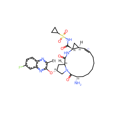 CCc1nc2ccc(F)cc2nc1O[C@@H]1C[C@H]2C(=O)N[C@]3(C(=O)NS(=O)(=O)C4CC4)C[C@H]3/C=C\CCCCC[C@H](N)C(=O)N2C1